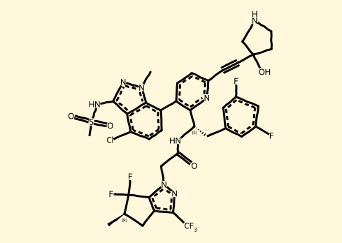 C[C@@H]1Cc2c(C(F)(F)F)nn(CC(=O)N[C@@H](Cc3cc(F)cc(F)c3)c3nc(C#CC4(O)CCNC4)ccc3-c3ccc(Cl)c4c(NS(C)(=O)=O)nn(C)c34)c2C1(F)F